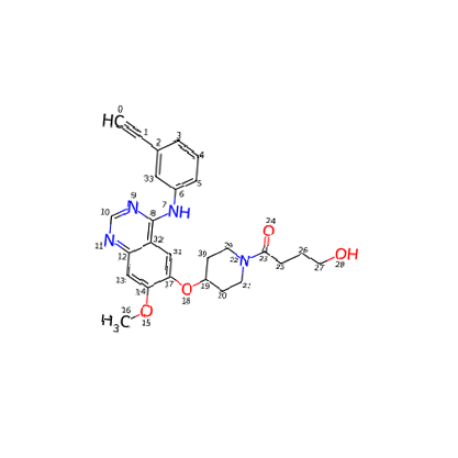 C#Cc1cccc(Nc2ncnc3cc(OC)c(OC4CCN(C(=O)CCCO)CC4)cc23)c1